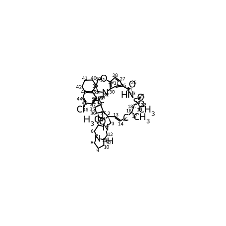 CO[C@@]1(CN2CCN3CCC[C@H]3C2)/C=C/C[C@H](C)[C@@H](C)S(=O)(=O)NC(=O)c2ccc3c(c2)N(C[C@@H]2CC[C@H]21)C[C@@]1(CCCc2cc(Cl)ccc21)CO3